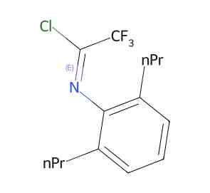 CCCc1cccc(CCC)c1/N=C(/Cl)C(F)(F)F